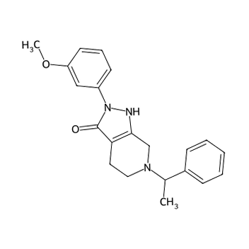 COc1cccc(-n2[nH]c3c(c2=O)CCN(C(C)c2ccccc2)C3)c1